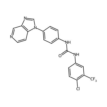 O=C(Nc1ccc(-n2cnc3cnccc32)cc1)Nc1ccc(Cl)c(C(F)(F)F)c1